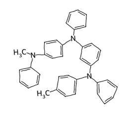 Cc1ccc(N(c2ccccc2)c2cccc(N(c3ccccc3)c3ccc(N(C)c4ccccc4)cc3)c2)cc1